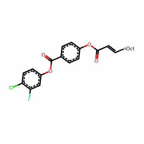 CCCCCCCCC=CC(=O)Oc1ccc(C(=O)Oc2ccc(Cl)c(F)c2)cc1